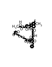 CC[C@@H](O)C(=O)OCc1ccc2n(c1=O)Cc1c-2nc2cc(F)c(C)c3c2c1[C@@H](NC(=O)COCNC(=O)CNC(=O)C(Cc1ccccc1)NC(=O)CNC(=O)CCOCCOCCN1C(=O)C=CC1=O)CC3